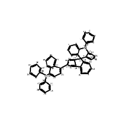 c1ccc(N2c3ccccc3C3(c4ccccc4-c4cc(-c5ccc(N(c6ccccc6)c6ccccc6)c6ccccc56)ccc43)c3ccccc32)cc1